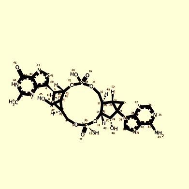 Cc1nc2c([C@@H]3O[C@@H]4CO[P@@](=O)(S)O[C@@H]5[C@@H](COP(=O)(O)O[C@@H]3[C@@H]4CO)[C@@H]3CC3(n3cnc4c(N)ncnc43)[C@@H]5O)snc2c(=O)[nH]1